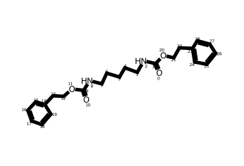 O=C(NCCCCCNC(=O)OCCc1ccccc1)OCCc1ccccc1